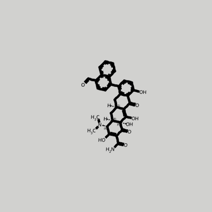 CN(C)[C@H]1C(O)=C(C(N)=O)C(=O)[C@]2(O)C(O)=C3C(=O)c4c(O)ccc(-c5ccc(C=O)c6ccccc56)c4C[C@@H]3C[C@H]12